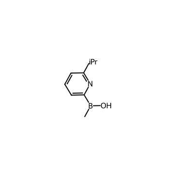 CB(O)c1cccc(C(C)C)n1